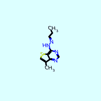 CCC=NNc1ncnc2c(C)csc12